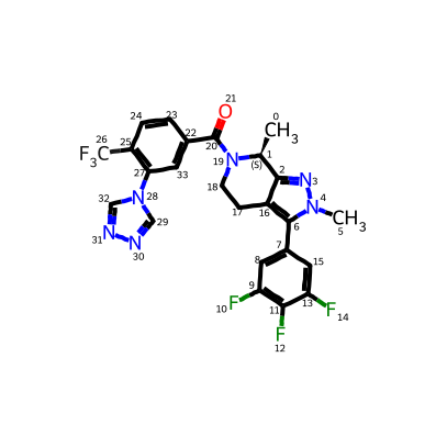 C[C@H]1c2nn(C)c(-c3cc(F)c(F)c(F)c3)c2CCN1C(=O)c1ccc(C(F)(F)F)c(-n2cnnc2)c1